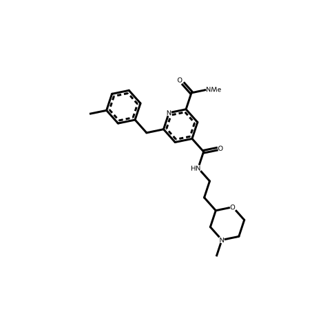 CNC(=O)c1cc(C(=O)NCCC2CN(C)CCO2)cc(Cc2cccc(C)c2)n1